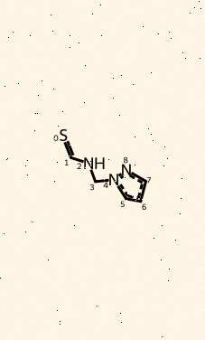 S=CNCn1cccn1